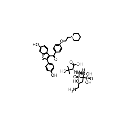 CC(C)(S)[C@@H](N)C(=O)O.NCCCC(O)(P(=O)(O)O)P(=O)(O)O.O=C(c1ccc(OCCN2CCCCC2)cc1)c1c(-c2ccc(O)cc2)sc2cc(O)ccc12